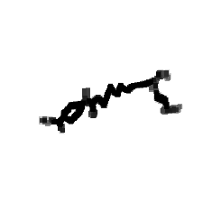 CC(=O)OCCN(C)CCCCCCCC(=O)Nc1ccc(C(N)=O)cc1